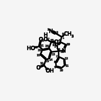 CC(C#N)C1=NC(c2ccccc2)(c2cc(C(=O)O)cc(C(=O)O)c2C(=O)O)N=C1